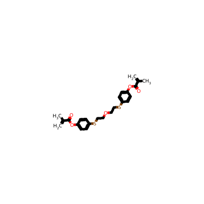 C=C(C)C(=O)Oc1ccc(SCCOCCSc2ccc(OC(=O)C(=C)C)cc2)cc1